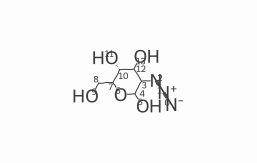 [N-]=[N+]=NC1C(O)OC(CO)[C@H](O)C1O